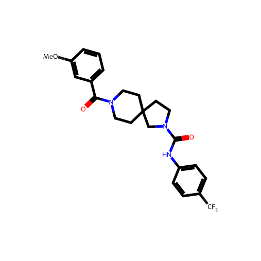 COc1cccc(C(=O)N2CCC3(CCN(C(=O)Nc4ccc(C(F)(F)F)cc4)C3)CC2)c1